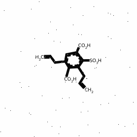 C=CCc1cc(C(=O)O)c(S(=O)(=O)O)c(CC=C)c1C(=O)O